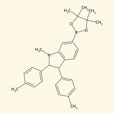 Cc1ccc(C2c3ccc(B4OC(C)(C)C(C)(C)O4)cc3N(C)C2c2ccc(C)cc2)cc1